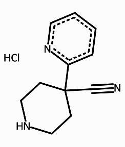 Cl.N#CC1(c2ccccn2)CCNCC1